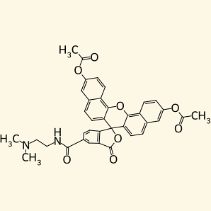 CC(=O)Oc1ccc2c3c(ccc2c1)C1(OC(=O)c2cc(C(=O)NCCN(C)C)ccc21)c1ccc2cc(OC(C)=O)ccc2c1O3